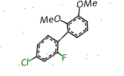 COc1cccc(-c2ccc(Cl)cc2F)c1OC